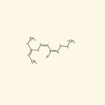 C/C=C(/CC)C/C=C\C(F)=C/CCC